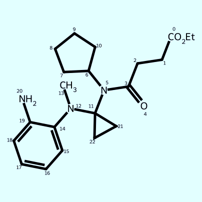 CCOC(=O)CCC(=O)N(C1CCCC1)C1(N(C)c2ccccc2N)CC1